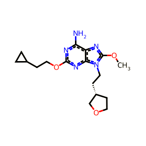 COc1nc2c(N)nc(OCCC3CC3)nc2n1CC[C@@H]1CCOC1